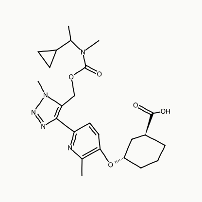 Cc1nc(-c2nnn(C)c2COC(=O)N(C)C(C)C2CC2)ccc1O[C@H]1CCC[C@H](C(=O)O)C1